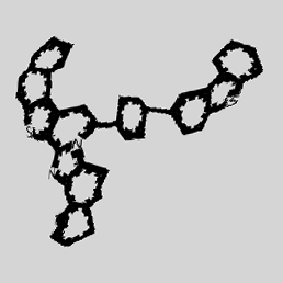 c1ccc2c(c1)ccc1c2nc2c3sc4ccc5ccccc5c4c3cc(-c3ccc(-c4ccc5sc6ccccc6c5c4)cc3)n12